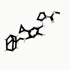 COC(=O)[C@@H]1CCC[C@H]1Cc1cc(C2CC2)c(OCC23CC4CC(CC(C4)C2)C3)cc1F